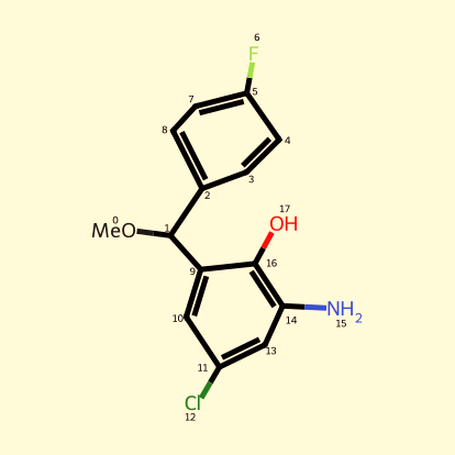 COC(c1ccc(F)cc1)c1cc(Cl)cc(N)c1O